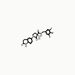 O=C1CCc2cc(N3CC[C@](O)(C(=O)NCc4cc(F)c(F)c(F)c4)C3=O)ccc2N1